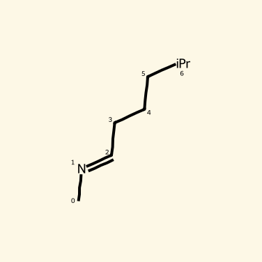 C/N=C/CCCC(C)C